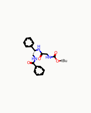 CC(C)(C)OC(=O)NCC(=O)N[C@H](CNC(=O)c1ccccc1)c1ccccc1